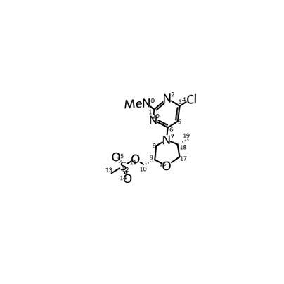 CNc1nc(Cl)cc(N2C[C@@H](COS(C)(=O)=O)OC[C@H]2C)n1